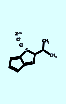 CC(C)C1C=C2C=CC=C2S1.[Cl-].[Cl-].[Zr+2]